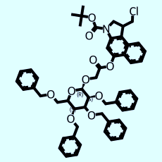 CC(C)(C)OC(=O)N1CC(CCl)c2c1cc(OC(=O)CO[C@@H]1OC(COCc3ccccc3)[C@H](OCc3ccccc3)C(OCc3ccccc3)[C@@H]1OCc1ccccc1)c1ccccc21